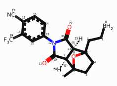 BCCC12CCC(C)(O1)[C@H]1C(=O)N(c3ccc(C#N)c(C(F)(F)F)c3)C(=O)[C@H]12